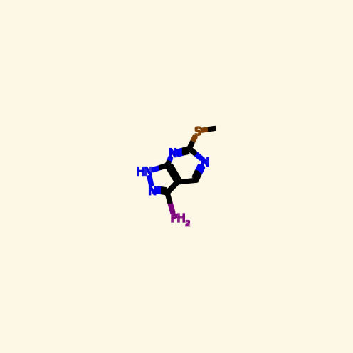 CSc1ncc2c(P)n[nH]c2n1